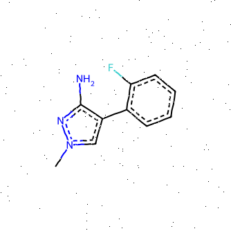 Cn1cc(-c2ccccc2F)c(N)n1